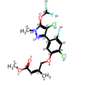 COC(=O)/C=C(/C)COc1cc(-c2nn(C)c(OC(F)F)c2Cl)c(F)cc1Cl